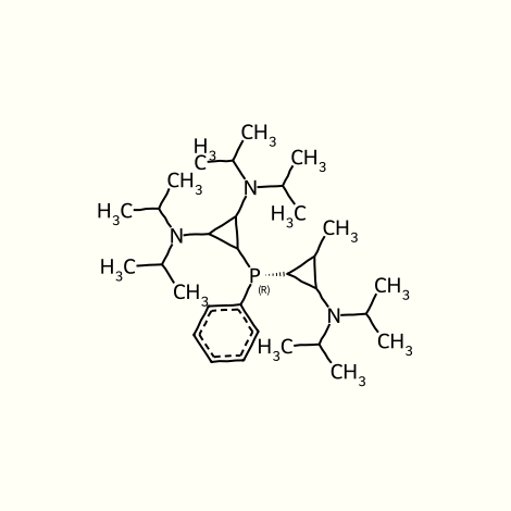 CC1C(N(C(C)C)C(C)C)C1[P@](c1ccccc1)C1C(N(C(C)C)C(C)C)C1N(C(C)C)C(C)C